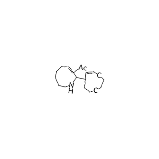 CC(=O)C1=CCCCCCNC1C1C=CCCCCCC1